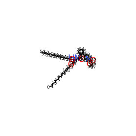 CCCCCCCCCCCCCCOCC(CNC(=O)c1ccccc1C1CCN(C(=O)OC(C)(C)C)CC1)OCCCCCCCCCCCCCC